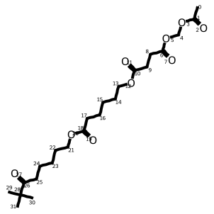 CC(=O)OCOC(=O)CCC(=O)OCCCCCC(=O)OCCCCCC(=O)C(C)(C)C